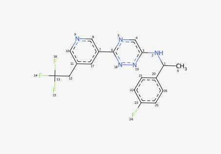 CC(Nc1cnc(-c2cncc(CC(F)(F)F)c2)nn1)c1ccc(F)cc1